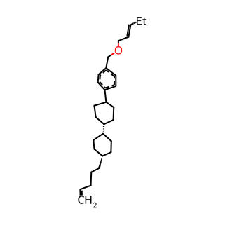 C=CCCC[C@H]1CC[C@H](C2CCC(c3ccc(COC/C=C/CC)cc3)CC2)CC1